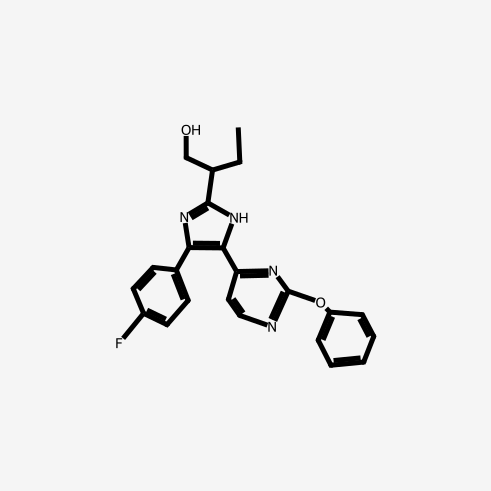 CCC(CO)c1nc(-c2ccc(F)cc2)c(-c2ccnc(Oc3ccccc3)n2)[nH]1